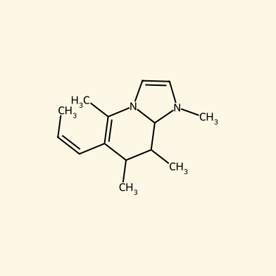 C/C=C\C1=C(C)N2C=CN(C)C2C(C)C1C